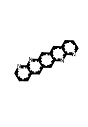 c1cnc2nc3cc4cc5cccnc5nc4cc3cc2c1